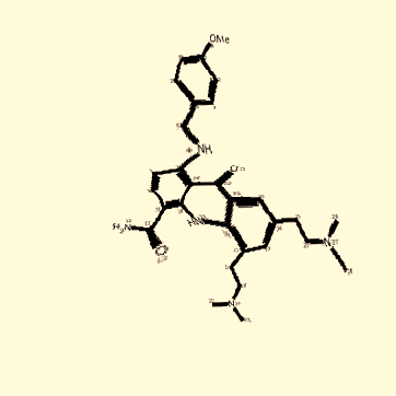 COc1ccc(CNc2ccc(C(N)=O)c3[nH]c4c(CCN(C)C)cc(CCN(C)C)cc4c(=O)c23)cc1